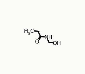 C[CH]C(=O)NCO